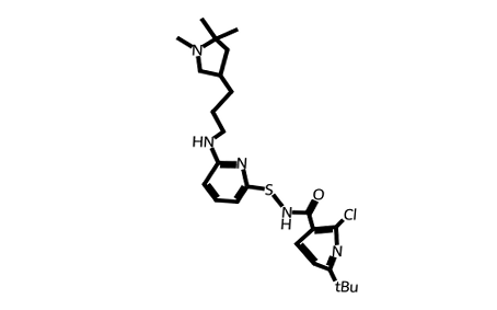 CN1CC(CCCNc2cccc(SNC(=O)c3ccc(C(C)(C)C)nc3Cl)n2)CC1(C)C